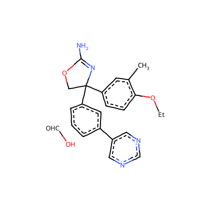 CCOc1ccc(C2(c3cccc(-c4cncnc4)c3)COC(N)=N2)cc1C.O=CO